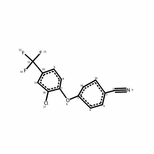 N#Cc1ccc(Oc2ccc(C(F)(F)F)cc2Cl)cc1